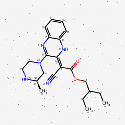 CCC(CC)COC(=O)/C(C#N)=C1\Nc2ccccc2N=C1N1CCN[C@H](C)C1